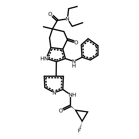 CCN(CC)C(=O)C1(C)CC(=O)c2c([nH]c(-c3ccnc(NC(=O)[C@@H]4C[C@@H]4F)c3)c2Nc2ccccc2)C1